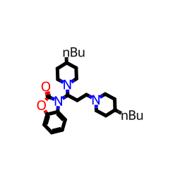 CCCCC1CCN(CCC(N2CCC(CCCC)CC2)n2c(=O)oc3ccccc32)CC1